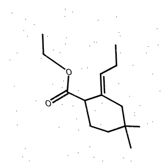 CCC=C1CC(C)(C)CCC1C(=O)OCC